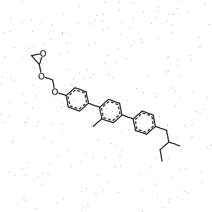 CCC(C)Cc1ccc(-c2ccc(-c3ccc(OCOC4CO4)cc3)c(C)c2)cc1